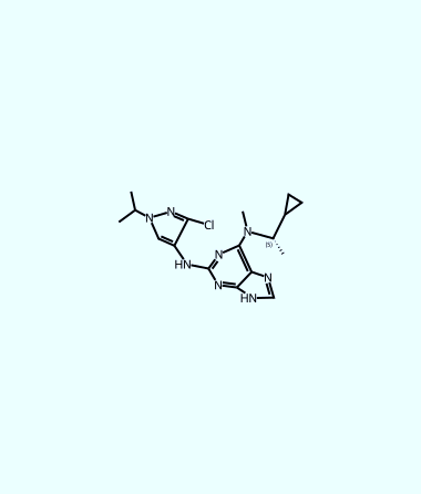 CC(C)n1cc(Nc2nc(N(C)[C@@H](C)C3CC3)c3nc[nH]c3n2)c(Cl)n1